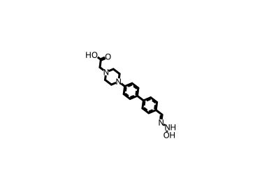 O=C(O)CN1CCN(c2ccc(-c3ccc(C=NNO)cc3)cc2)CC1